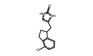 O=c1[nH]cc(CC2CCc3c(Cl)cccc32)[nH]1